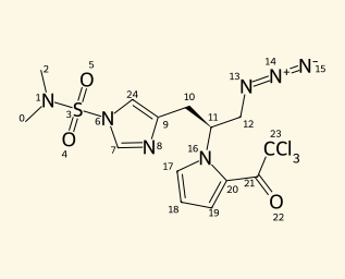 CN(C)S(=O)(=O)n1cnc(C[C@@H](CN=[N+]=[N-])n2cccc2C(=O)C(Cl)(Cl)Cl)c1